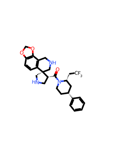 O=C([C@@H]1CNC[C@]12CNCc1c2ccc2c1OCO2)N1CC[C@@H](c2ccccc2)C[C@H]1CC(F)(F)F